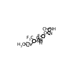 CN1CCN(Cc2cc(NC(=O)Nc3ccc(Oc4ccnc5[nH]cc(Cl)c45)cc3F)cc(C(F)(F)F)c2)CC1